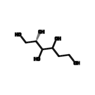 OCCC(O)C(O)[C@@H](O)CO